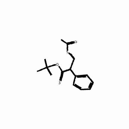 CC(=O)SCC(C(=S)OC(C)(C)C)c1ccccc1